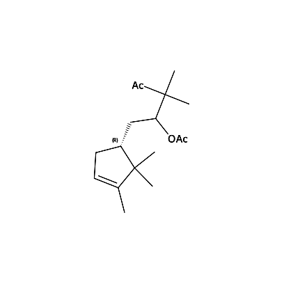 CC(=O)OC(C[C@H]1CC=C(C)C1(C)C)C(C)(C)C(C)=O